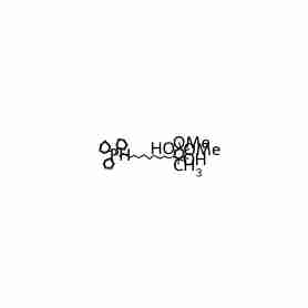 COc1c(O)c(C)c(CCCCCCCCCCC[PH](c2ccccc2)(c2ccccc2)c2ccccc2)c(O)c1OC